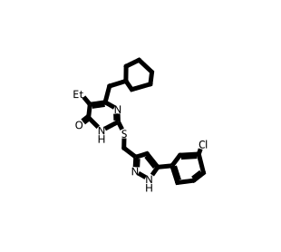 CCc1c(CC2CCCCC2)nc(SCc2cc(-c3cccc(Cl)c3)[nH]n2)[nH]c1=O